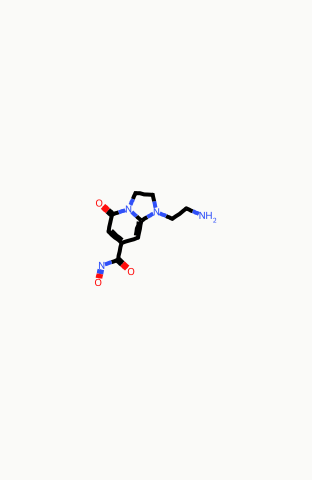 NCCN1CCn2c1cc(C(=O)N=O)cc2=O